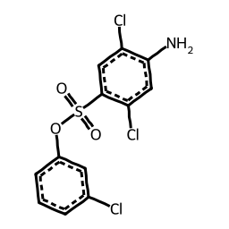 Nc1cc(Cl)c(S(=O)(=O)Oc2cccc(Cl)c2)cc1Cl